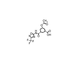 CC(=O)Oc1cc(C(=O)O)cc(C(=O)Nc2nc(C(F)(F)F)no2)c1